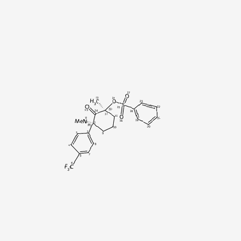 CN[C@@]1(c2ccc(C(F)(F)F)cc2)CCC[C@](C)(OS(=O)(=O)c2ccccc2)C1=O